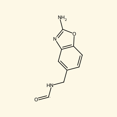 Nc1nc2cc(CN[C]=O)ccc2o1